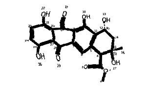 COC(=O)C1c2cc3c(c(O)c2[C@H](O)C[C@]1(C)O)C(=O)c1c(O)ccc(O)c1C3=O